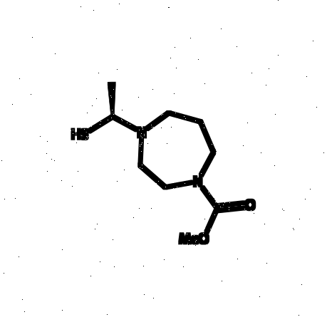 COC(=O)N1CCCN([C@H](C)S)CC1